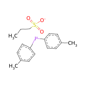 CCCS(=O)(=O)[O-].Cc1ccc([I+]c2ccc(C)cc2)cc1